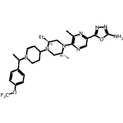 CC[C@H]1CN(c2ncc(-c3nnc(N)o3)nc2C)[C@H](C)CN1C1CCN(C(C)c2ccc(OC(F)(F)F)cc2)CC1